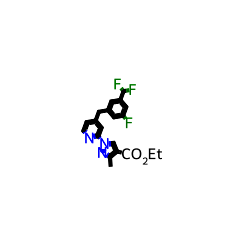 CCOC(=O)c1cn(-c2cc(Cc3cc(F)cc(C(F)F)c3)ccn2)nc1C